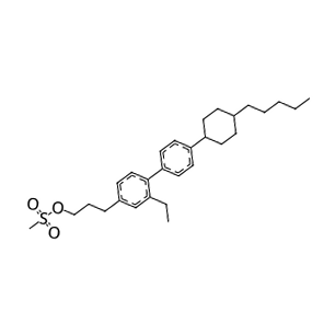 CCCCCC1CCC(c2ccc(-c3ccc(CCCOS(C)(=O)=O)cc3CC)cc2)CC1